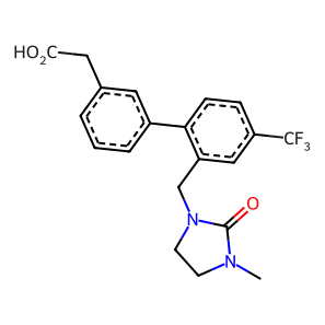 CN1CCN(Cc2cc(C(F)(F)F)ccc2-c2cccc(CC(=O)O)c2)C1=O